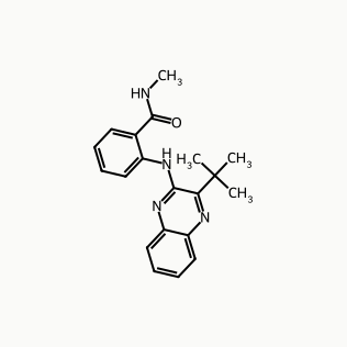 CNC(=O)c1ccccc1Nc1nc2ccccc2nc1C(C)(C)C